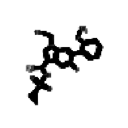 CC(C)(C)Cn1cc(C(NS(=O)(=O)C2CC2)C(F)(F)F)c2cc(F)c(-c3ccccc3OC(F)(F)F)cc21